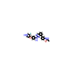 C=CC(=O)Nc1cccc(-c2cccc3cnc(Nc4ccc(O[C@]5(C)CCNC[C@@H]5F)cc4)nc23)c1